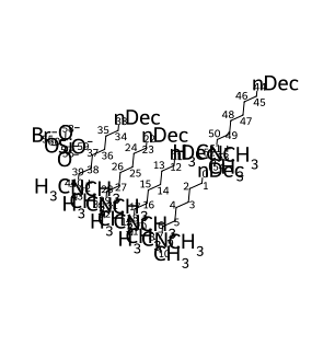 CCCCCCCCCCCCCCCC[N+](C)(C)C.CCCCCCCCCCCCCCCC[N+](C)(C)C.CCCCCCCCCCCCCCCC[N+](C)(C)C.CCCCCCCCCCCCCCCC[N+](C)(C)C.CCCCCCCCCCCCCCCC[N+](C)(C)C.[Br-].[O-][Si]([O-])([O-])[O-]